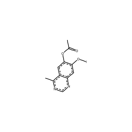 CC(=O)Oc1cc2c(C)ncnc2cc1OI